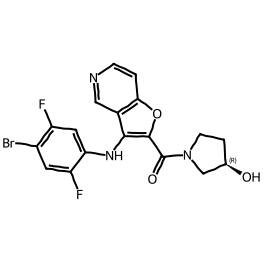 O=C(c1oc2ccncc2c1Nc1cc(F)c(Br)cc1F)N1CC[C@@H](O)C1